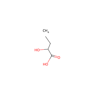 C.CCC(O)C(=O)O